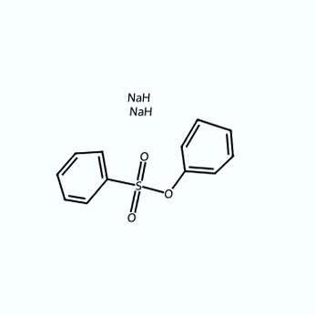 O=S(=O)(Oc1ccccc1)c1ccccc1.[NaH].[NaH]